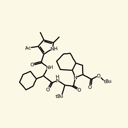 CC(=O)c1c(C(=O)NC(C(=O)NC(C(=O)N2C(C(=O)OC(C)(C)C)CC3CCCCC32)C(C)(C)C)C2CCCCC2)[nH]c(C)c1C